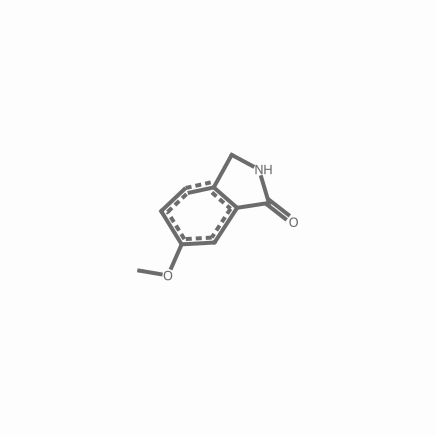 COc1ccc2c(c1)C(=O)NC2